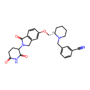 N#Cc1cccc(CN2CCCC[C@H]2COc2ccc3c(c2)CN(C2CCC(=O)NC2=O)C3=O)c1